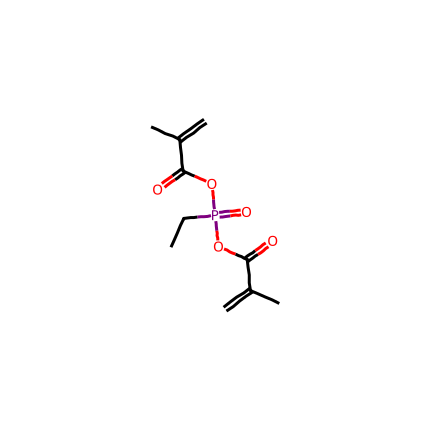 C=C(C)C(=O)OP(=O)(CC)OC(=O)C(=C)C